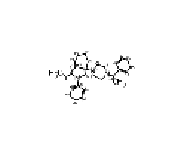 CCC(=O)N(CC1(N2CCN(C(C)C3=CCCC=C3)CC2)CCCCC1)C1=NCCC=C1